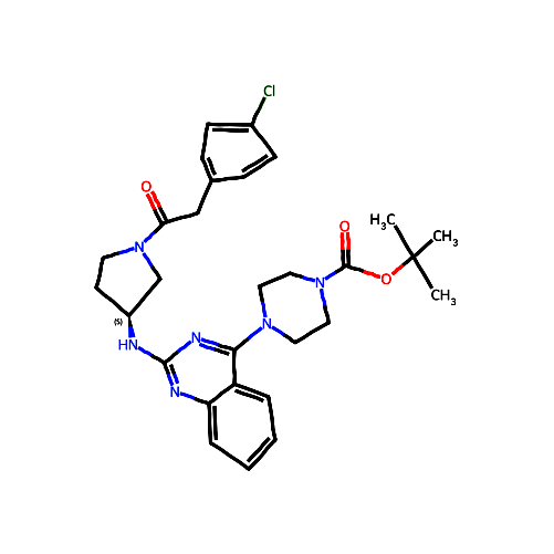 CC(C)(C)OC(=O)N1CCN(c2nc(N[C@H]3CCN(C(=O)Cc4ccc(Cl)cc4)C3)nc3ccccc23)CC1